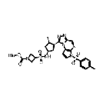 Cc1ccc(S(=O)(=O)n2ccc3c2ncc2nnc([C@H]4C[C@@H](NS(=O)(=O)C5CN(C(=O)OC(C)(C)C)C5)C[C@H]4C)n23)cc1